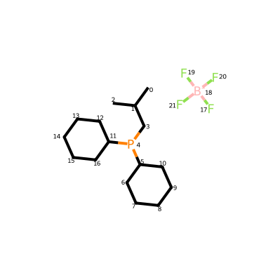 CC(C)CP(C1CCCCC1)C1CCCCC1.F[B-](F)(F)F